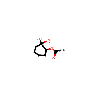 CCC(C)C(=O)OC1CCCCC1(O)CC